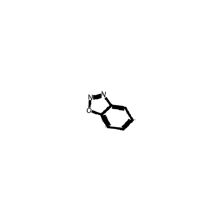 [c]1c[c]c2onnc2c1